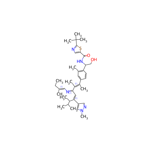 CC/C(C)=C/N=C(/C=C(/c1cnn(C)c1)C(C)C(C)C)C(\C)=C(/C)c1ccc(C(CO)NC(=O)c2cnc(C(C)(C)C)s2)c(C)c1